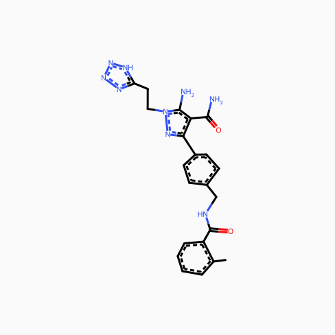 Cc1ccccc1C(=O)NCc1ccc(-c2nn(CCc3nnn[nH]3)c(N)c2C(N)=O)cc1